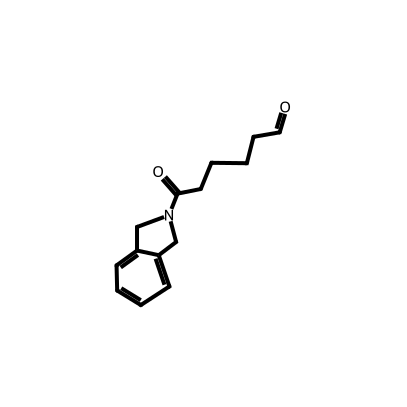 O=CCCCCC(=O)N1Cc2ccccc2C1